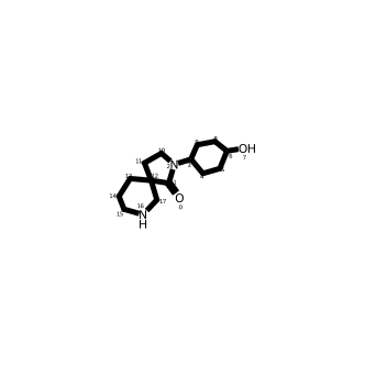 O=C1N(C2CCC(O)CC2)CCC12CCCNC2